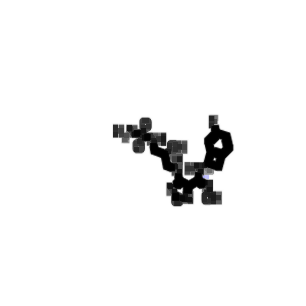 NS(=O)(=O)NC[C@H](O)CNc1nonc1/C(=N\O)N[C@H]1Cc2ccc(F)cc21